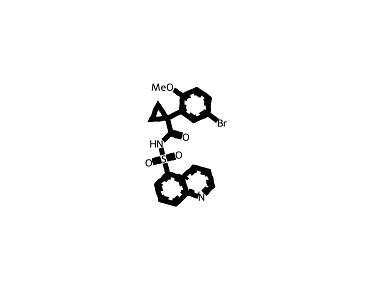 COc1ccc(Br)cc1C1(C(=O)NS(=O)(=O)c2cccc3ncccc23)CC1